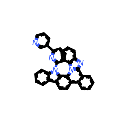 c1cncc(-c2cccc(-n3c4ccccc4c4ccc5c6ccccc6c6nc7ccccc7n6c5c43)n2)c1